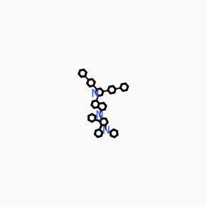 c1ccc(-c2ccc(-c3cc(-c4ccc(-c5ccccc5)cc4)nc(-c4cccc5c(-n6c7ccccc7c7c8c9ccccc9n(-c9ccccc9)c8ccc76)cccc45)c3)cc2)cc1